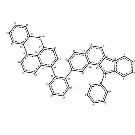 c1ccc(-n2c3ccccc3c3ccc4ccc(-c5ccccc5-c5ccc6c7c(cccc57)-c5ccccc5S6)cc4c32)cc1